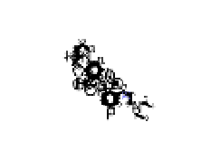 CCN(CC)C/C=C\c1cc(F)ccc1S(=O)(=O)[AsH]c1ccc2c(c1C(=O)O)OC[C@H]1CCCN21